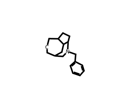 c1ccc(CN2CC3CCCC4CCC2C4C3)cc1